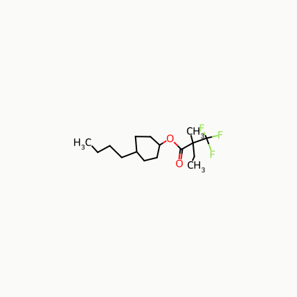 CCCCC1CCC(OC(=O)C(C)(CC)C(F)(F)F)CC1